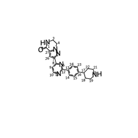 O=C1NCCn2nc(-c3ccnc(-c4ccc(C5CCNCC5)cc4)n3)cc21